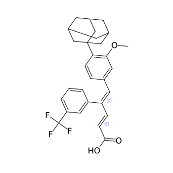 COc1cc(/C=C(/C=C/C(=O)O)c2cccc(C(F)(F)F)c2)ccc1C12CC3CC(CC(C3)C1)C2